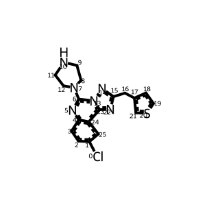 Clc1ccc2nc(N3CCNCC3)n3nc(Cc4ccsc4)nc3c2c1